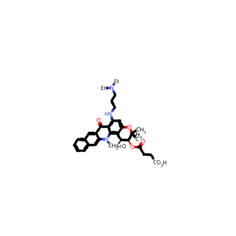 CCN(CC)CCCNc1cc2c(c3c1c(=O)c1cc4ccccc4cc1n3C)[C@H](OC(C)=O)[C@H](OC(=O)CCC(=O)O)C(C)(C)O2